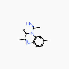 C=C1C(C)=Nc2ccc(C)cc2N1C(C)=N